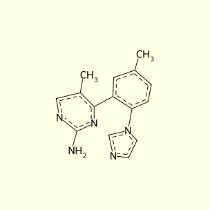 Cc1ccc(-n2ccnc2)c(-c2nc(N)ncc2C)c1